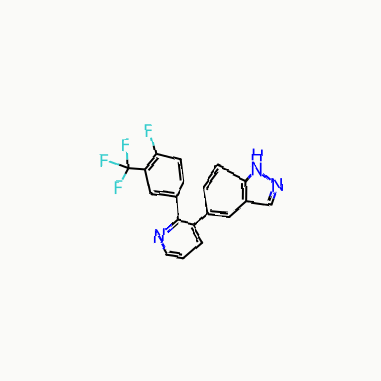 Fc1ccc(-c2ncccc2-c2ccc3[nH]ncc3c2)cc1C(F)(F)F